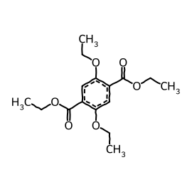 CCOC(=O)c1cc(OCC)c(C(=O)OCC)cc1OCC